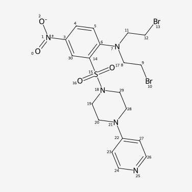 O=[N+]([O-])c1ccc(N(CCBr)CCBr)c(S(=O)(=O)N2CCN(c3ccncc3)CC2)c1